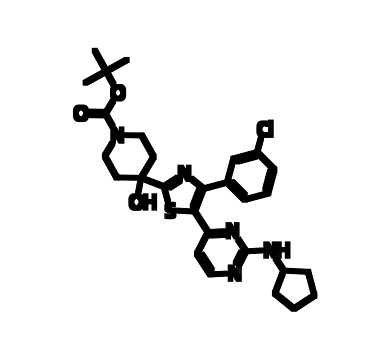 CC(C)(C)OC(=O)N1CCC(O)(c2nc(-c3cccc(Cl)c3)c(-c3ccnc(NC4CCCC4)n3)s2)CC1